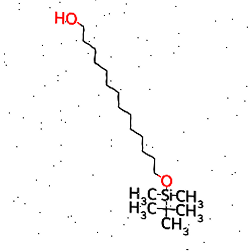 CC(C)(C)[Si](C)(C)OCCCCCCCCCCCCCCO